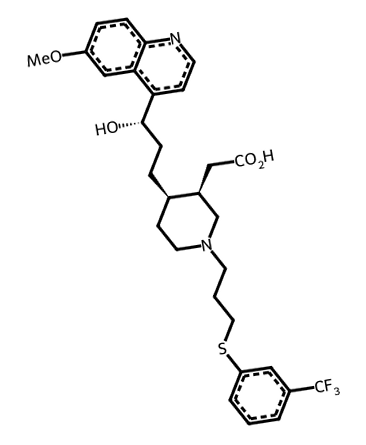 COc1ccc2nccc([C@@H](O)CC[C@@H]3CCN(CCCSc4cccc(C(F)(F)F)c4)C[C@@H]3CC(=O)O)c2c1